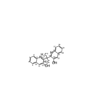 CC(C)(c1nc2ccccc2cc1O)c1nc2ccccc2cc1O